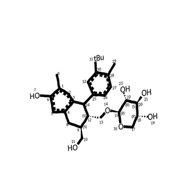 Cc1cc2c(cc1O)C[C@H](CO)[C@@H](CO[C@@H]1OC[C@@H](O)[C@H](O)[C@H]1O)C2c1ccc(C)c(C(C)(C)C)c1